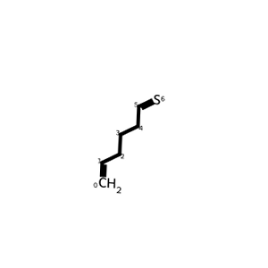 C=CCCCC=S